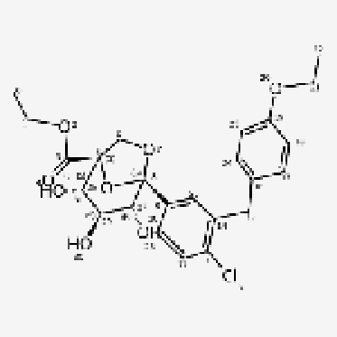 CCOC(=O)[C@@]12CO[C@@](c3ccc(Cl)c(Cc4ccc(OCC)cc4)c3)(O1)[C@H](O)[C@@H](O)[C@@H]2O